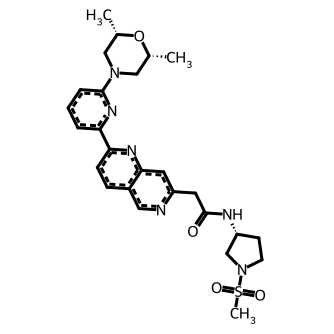 C[C@@H]1CN(c2cccc(-c3ccc4cnc(CC(=O)N[C@@H]5CCN(S(C)(=O)=O)C5)cc4n3)n2)C[C@H](C)O1